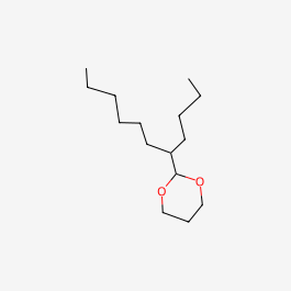 CCCCCCC(CCCC)C1OCCCO1